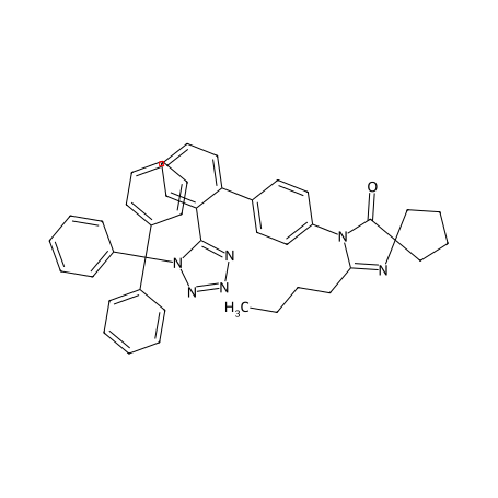 CCCCC1=NC2(CCCC2)C(=O)N1c1ccc(-c2ccccc2-c2nnnn2C(c2ccccc2)(c2ccccc2)c2ccccc2)cc1